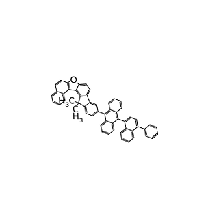 CC1(C)c2ccc(-c3c4ccccc4c(-c4ccc(-c5ccccc5)c5ccccc45)c4ccccc34)cc2-c2ccc3oc4ccc5ccccc5c4c3c21